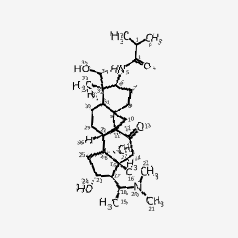 CC(C)C(=O)N[C@H]1CCC23CC24C(=O)C[C@]2(C)[C@@H]([C@H](C)N(C)C)[C@H](O)C[C@@]2(C)[C@@H]4CC[C@H]3[C@]1(C)CO